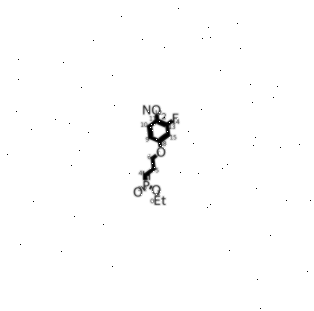 CCO[PH](=O)CCCOc1ccc([N+](=O)[O-])c(F)c1